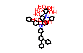 Oc1c(O)c(O)c2c(c1O)c1c(O)c(O)c(O)c(O)c1n2-c1ccccc1-c1ccc(N(c2ccc(-c3ccccc3)cc2)c2ccc(-c3ccc(-c4ccccc4)c(-c4ccccc4)c3)cc2)cc1